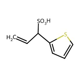 C=CC(c1cccs1)S(=O)(=O)O